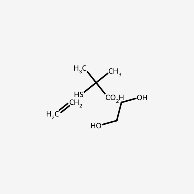 C=C.CC(C)(S)C(=O)O.OCCO